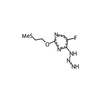 CSCCOc1ncc(F)c(NN=N)n1